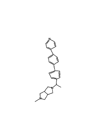 CC(c1ccc(-c2ccc(-c3ccncc3)cc2)cc1)N1CC2CN(C)CC2C1